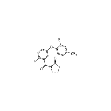 O=C1CCCN1C(=O)c1cc(Oc2ccc(C(F)(F)F)cc2F)ccc1I